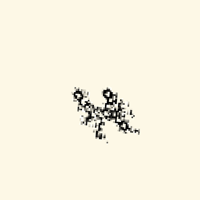 C[C@@H](O)[C@H](NC(=O)[C@H](CCCCN)NC(=O)[C@@H](Cc1c[nH]c2ccccc12)NC(=O)[C@H](Cc1ccc(O)cc1)NC(=O)[C@@H](N)CS)C(=O)N[C@@H](Cc1ccccc1)C(=O)O